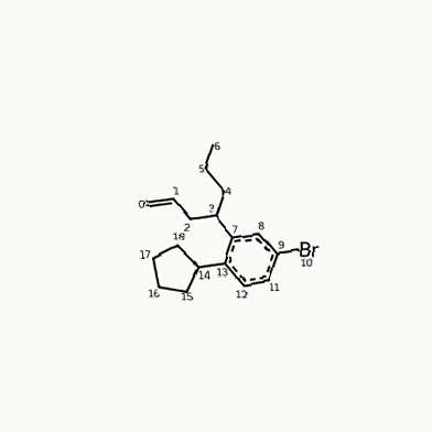 C=CCC(CCC)c1cc(Br)ccc1C1CCCC1